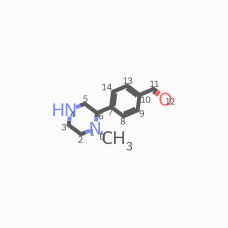 CN1CCNCC1c1ccc(C=O)cc1